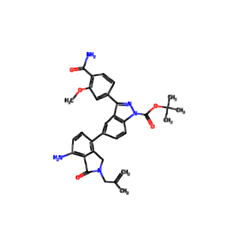 C=C(C)CN1Cc2c(-c3ccc4c(c3)c(-c3ccc(C(N)=O)c(OC)c3)nn4C(=O)OC(C)(C)C)ccc(N)c2C1=O